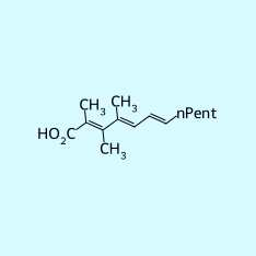 CCCCC/C=C/C=C(C)/C(C)=C(\C)C(=O)O